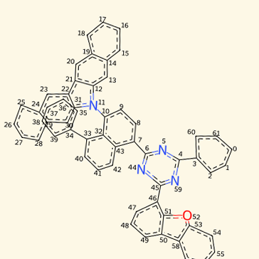 c1ccc(-c2nc(-c3ccc(-n4c5cc6ccccc6cc5c5cc6ccccc6cc54)c4c(-c5ccccc5)cccc34)nc(-c3cccc4c3oc3ccccc34)n2)cc1